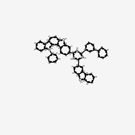 c1ccc(-c2cccc(-c3nc(-c4ccc5c(c4)oc4ccc6c7ccccc7n(-c7ccccc7)c6c45)nc(-c4ccc5oc6ccccc6c5c4)n3)c2)cc1